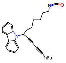 CCCCC#CC#CC(CCCCCCN=C=O)n1c2ccccc2c2ccccc21